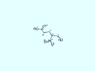 O=CC(CCC(=O)O)[N+](=O)[O-]